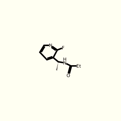 CCC(=O)N[C@H](C)c1cccnc1F